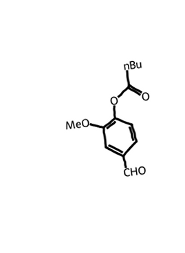 CCCCC(=O)Oc1ccc(C=O)cc1OC